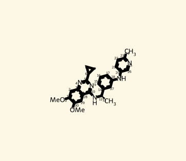 COc1cc2nc(C3CC3)nc(N[C@H](C)c3cccc(Nc4ccc(C)nc4)c3)c2cc1OC